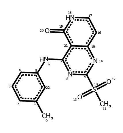 Cc1cccc(Nc2nc(S(C)(=O)=O)nc3cc[nH]c(=O)c23)c1